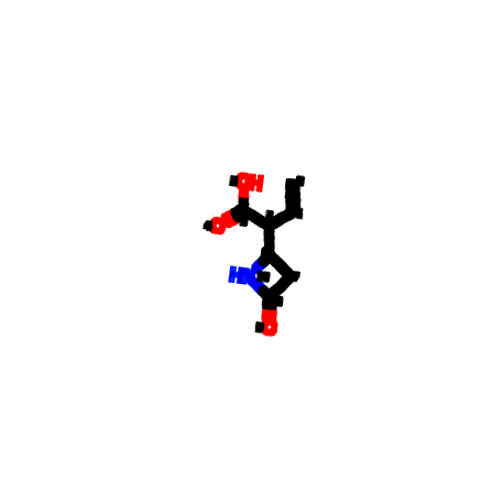 C=CC(C(=O)O)C1CC(=O)N1